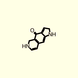 O=C1C2=CCNC2=CC2=C1CNC=C2